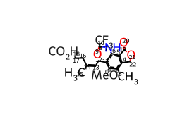 COc1c(C)c2c(c(NC(=O)C(F)(F)F)c1CC=C(C)CCC(=O)O)C(=O)OC2